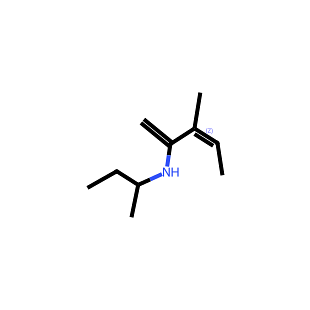 C=C(NC(C)CC)/C(C)=C\C